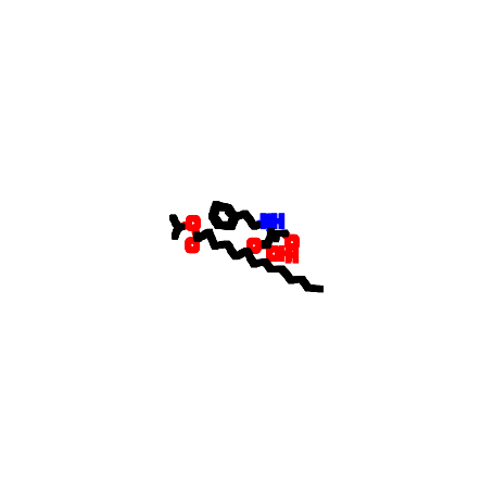 CCCCCCCCCCCCCC(=O)OC(C)C.O=C(O)[C@H](CO)NCCc1ccccc1